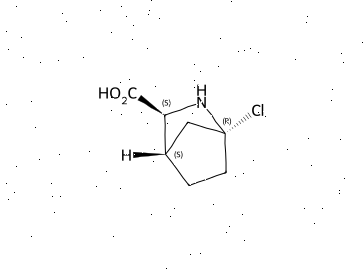 O=C(O)[C@H]1N[C@@]2(Cl)CC[C@H]1C2